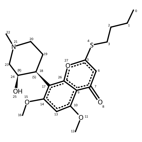 CCCCSc1cc(=O)c2c(OC)cc(OC)c([C@@H]3CCN(C)C[C@@H]3O)c2o1